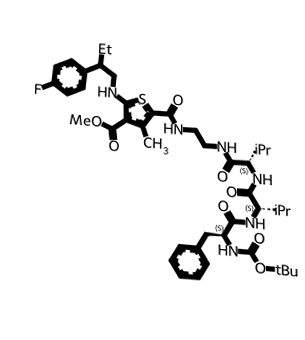 CCC(CNc1sc(C(=O)NCCNC(=O)[C@@H](NC(=O)[C@@H](NC(=O)[C@H](Cc2ccccc2)NC(=O)OC(C)(C)C)C(C)C)C(C)C)c(C)c1C(=O)OC)c1ccc(F)cc1